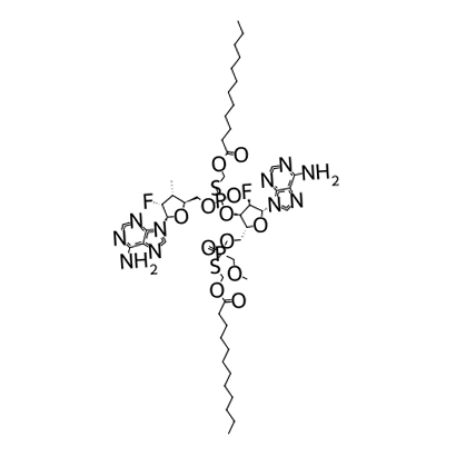 CCCCCCCCCCCC(=O)OCSP(=O)(COC)OC[C@H]1O[C@@H](n2cnc3c(N)ncnc32)[C@H](F)[C@@H]1OP(=O)(OC[C@H]1O[C@@H](n2cnc3c(N)ncnc32)[C@H](F)[C@@H]1C)SCOC(=O)CCCCCCCCCCC